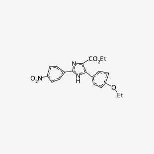 CCOC(=O)c1nc(-c2ccc([N+](=O)[O-])cc2)[nH]c1-c1ccc(OCC)cc1